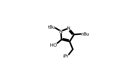 CCCCc1nn(C(C)(C)C)c(O)c1CC(C)C